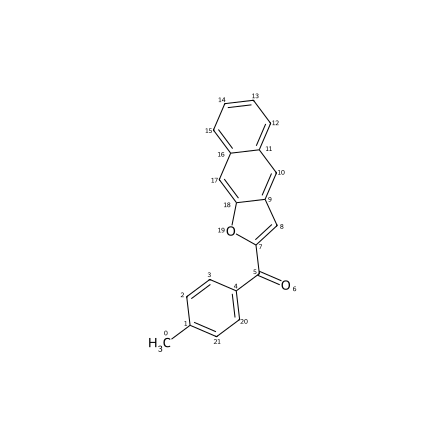 Cc1ccc(C(=O)c2cc3cc4ccccc4cc3o2)cc1